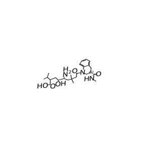 CNC(=O)[C@H]1Cc2ccccc2N(C(=O)CC(C)(C)CC(N)C(O)CC(C(=O)O)C(C)C)C1